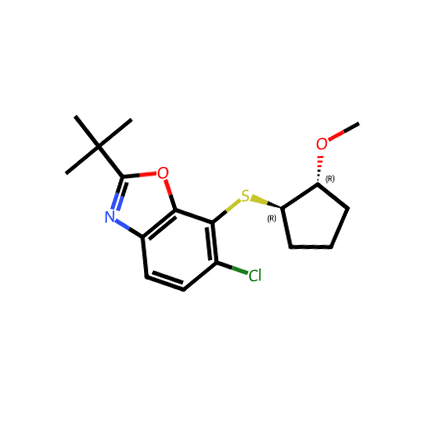 CO[C@@H]1CCC[C@H]1Sc1c(Cl)ccc2nc(C(C)(C)C)oc12